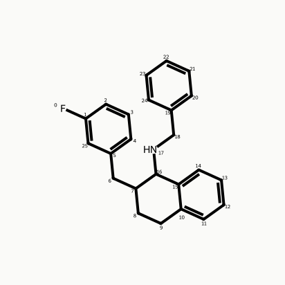 Fc1cccc(CC2CCc3ccccc3C2NCc2ccccc2)c1